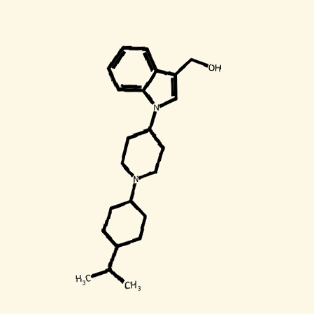 CC(C)C1CCC(N2CCC(n3cc(CO)c4ccccc43)CC2)CC1